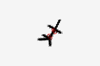 CCCCCCCCCC(CCCCCC)(CCCCCC)OC(=O)CCCCC(=O)OC(CCCCCC)(CCCCCC)CCCCCCCCC